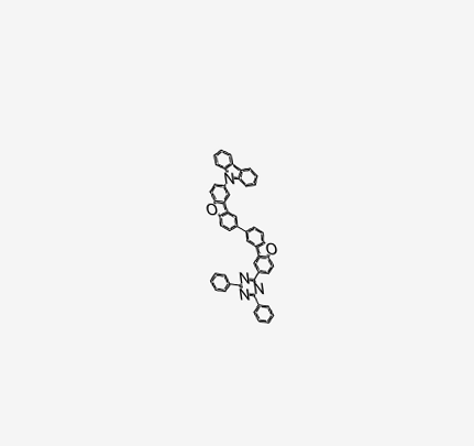 c1ccc(-c2nc(-c3ccccc3)nc(-c3ccc4oc5ccc(-c6ccc7oc8ccc(-n9c%10ccccc%10c%10ccccc%109)cc8c7c6)cc5c4c3)n2)cc1